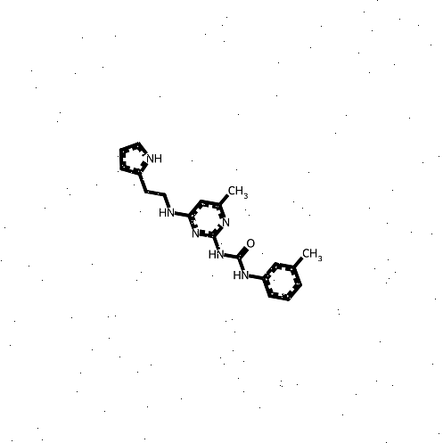 Cc1cccc(NC(=O)Nc2nc(C)cc(NCCc3ccc[nH]3)n2)c1